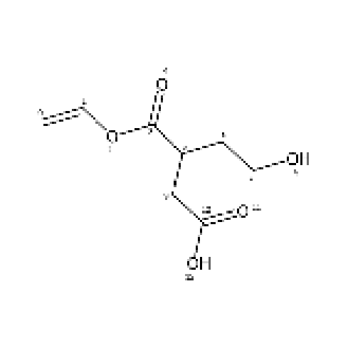 C=COC(=O)C(CCO)CC(=O)O